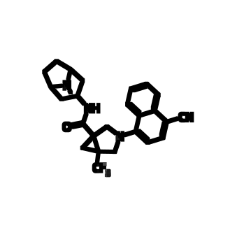 CN1C2CCC1CC(NC(=O)C13CN(c4ccc(C#N)c5ccccc45)CC1(C(F)(F)F)C3)C2